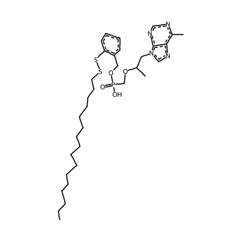 CCCCCCCCCCCCCCCCSSc1ccccc1COP(=O)(O)COC(C)Cn1cnc2c(C)ncnc21